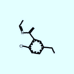 C=C(/N=C\C)c1cc(CC)ccc1Cl